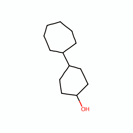 OC1CCC(C2CCCCCC2)CC1